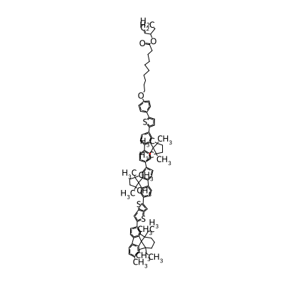 C=CC(C=C)OC(=O)CCCCCCCCCOc1ccc(-c2ccc(-c3ccc4c(c3)C3(c5cc(-c6ccc7c(c6)C6(c8cc(-c9cc%10sc(-c%11ccc%12c(c%11)C%11(c%13cc(C)ccc%13-%12)C(CC)(CC)CCCC%11(CC)CC)cc%10s9)ccc8-7)C(C)(C)CCC6(C)C)ccc5-4)C(C)(C)CCC3(C)C)s2)cc1